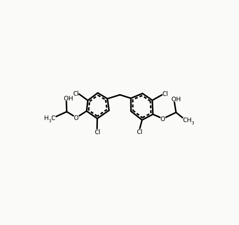 CC(O)Oc1c(Cl)cc(Cc2cc(Cl)c(OC(C)O)c(Cl)c2)cc1Cl